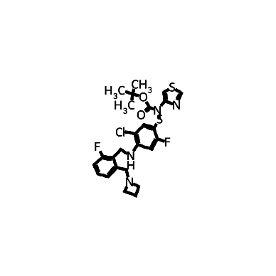 CC(C)(C)OC(=O)N(Sc1cc(Cl)c(NCc2c(F)cccc2CN2CCC2)cc1F)c1cscn1